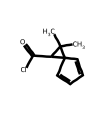 CC1(C)C(C(=O)Cl)C12C=CC=C2